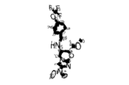 COC[C@@H]1Oc2nc([N+](=O)[O-])cn2C[C@@H]1NCc1ccc(OC(F)(F)F)cc1